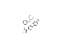 Cc1noc(C)c1-c1cnc2c3ccc(C(C)(C)O)cc3n(C(c3ccccc3)C3CCOCC3)c2c1